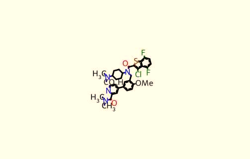 COc1ccc(-c2ccnc(C(=O)N(C)C)c2)cc1CN(C(=O)c1sc2c(F)ccc(F)c2c1Cl)C1CCC(N(C)C(=O)O)CC1